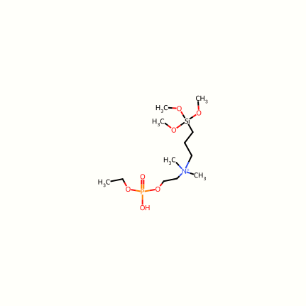 CCOP(=O)(O)OCC[N+](C)(C)CCC[Si](OC)(OC)OC